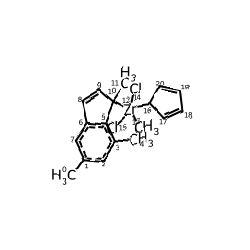 Cc1cc(C)c2c(c1)C=C[C]2(C)[Zr]([CH3])([Cl])([Cl])[CH]1C=CC=C1